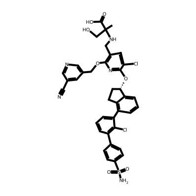 CC(CO)(NCc1cc(Cl)c(O[C@H]2CCc3c(-c4cccc(-c5ccc(S(N)(=O)=O)cc5)c4Cl)cccc32)nc1OCc1cncc(C#N)c1)C(=O)O